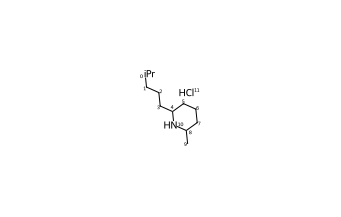 CC(C)CCCC1CCCC(C)N1.Cl